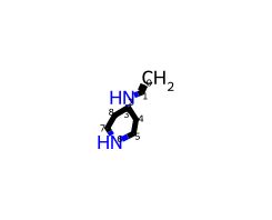 C=CNC1CCNCC1